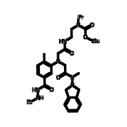 CCNNC(=O)c1ccc(C)c(N(CC(=O)NCCN(C(=O)OC(C)(C)C)C(C)C)CC(=O)N(C)N2Cc3ccccc3C2)c1